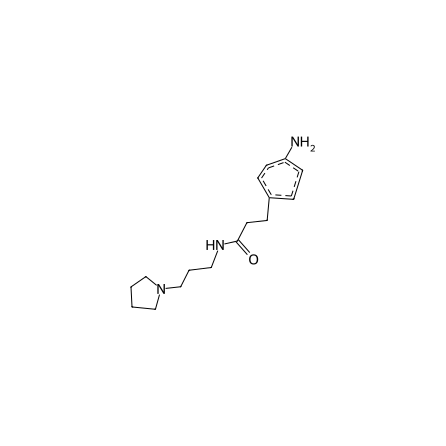 Nc1ccc(CCC(=O)NCCCN2CCCC2)cc1